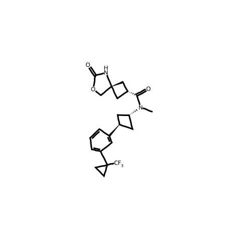 CN(C(=O)[C@H]1C[C@]2(COC(=O)N2)C1)[C@H]1C[C@H](c2cccc(C3(C(F)(F)F)CC3)c2)C1